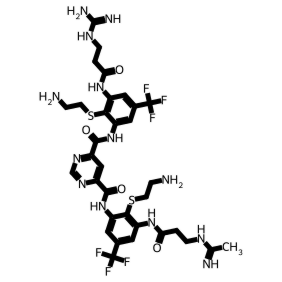 CC(=N)NCCC(=O)Nc1cc(C(F)(F)F)cc(NC(=O)c2cc(C(=O)Nc3cc(C(F)(F)F)cc(NC(=O)CCNC(=N)N)c3SCCN)ncn2)c1SCCN